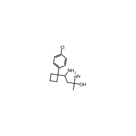 CCCC(C)(O)CC(N)C1(c2ccc(Cl)cc2)CCC1